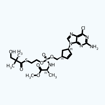 COC(=O)[C@H](C)NP(=O)(OCCSC(=O)C(C)(C)CO)OC[C@@H]1C=C[C@H](n2cnc3c(Cl)nc(N)nc32)C1